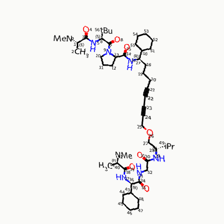 CN[C@@H](C)C(=O)N[C@H](C(=O)N1CCCC1C(=O)N[C@H](CCCC#CC#CCOC[C@@H](NC(=O)CNC(=O)[C@H](NC(=O)[C@@H](C)NC)C1CCCCC1)C(C)C)C1CCCCC1)C(C)(C)C